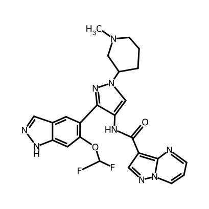 CN1CCCC(n2cc(NC(=O)c3cnn4cccnc34)c(-c3cc4cn[nH]c4cc3OC(F)F)n2)C1